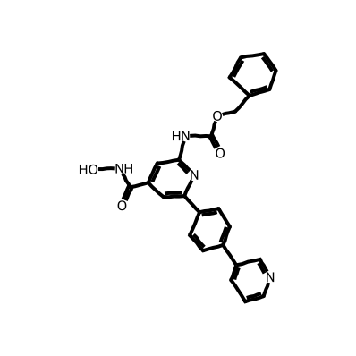 O=C(Nc1cc(C(=O)NO)cc(-c2ccc(-c3cccnc3)cc2)n1)OCc1ccccc1